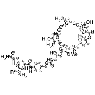 C=C1CC2CC[C@]34C[C@@H](O)C(O3)[C@H]3CC(O4)[C@H]4OC(CCC4O3)CC(=O)CC3C(CC4O[C@@H](CCC1O2)C[C@@H](C)C4=C)O[C@H](C[C@H](O)CNC(=O)OCc1ccc(NC(=O)C(CCCNC(N)=O)NC(=O)[C@@H](N)C(C)C)cc1)[C@@H]3OC